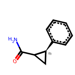 NC(=O)C1C[C@@H]1c1ccccc1